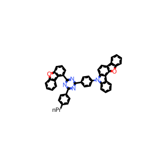 CCCc1ccc(-c2nc(-c3ccc(-n4c5ccccc5c5c6oc7ccccc7c6ccc54)cc3)nc(-c3cccc4oc5ccccc5c34)n2)cc1